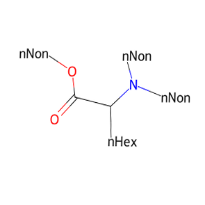 CCCCCCCCCOC(=O)C(CCCCCC)N(CCCCCCCCC)CCCCCCCCC